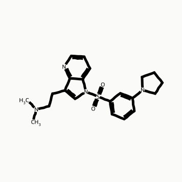 CN(C)CCc1cn(S(=O)(=O)c2cccc(N3CCCC3)c2)c2cccnc12